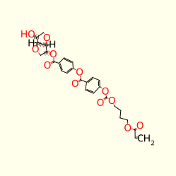 C=CC(=O)OCCCCOC(=O)Oc1ccc(C(=O)Oc2ccc(C(=O)O[C@@H]3CO[C@H]4[C@@H]3OC[C@@H]4O)cc2)cc1